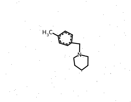 Cc1ccc(CN2CC[CH]CC2)cc1